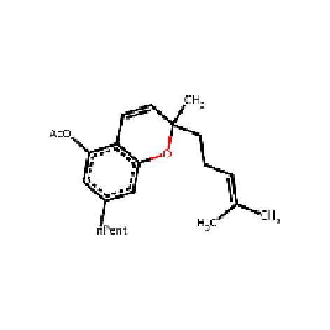 CCCCCc1cc(OC(C)=O)c2c(c1)OC(C)(CCC=C(C)C)C=C2